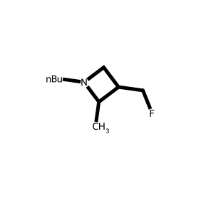 CCCCN1CC(CF)C1C